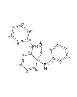 O=CC1(Pc2ccccc2)C=CC=CC1Pc1ccccc1